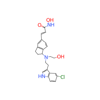 O=C(C=Cc1ccc2c(c1)CCC2N(CCO)CCc1c[nH]c2ccc(Cl)cc12)NO